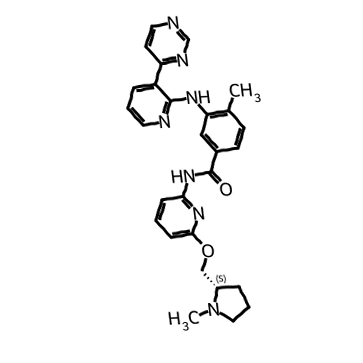 Cc1ccc(C(=O)Nc2cccc(OC[C@@H]3CCCN3C)n2)cc1Nc1ncccc1-c1ccncn1